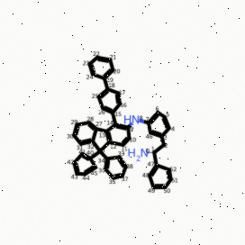 N[C@H](Cc1cccc(Nc2ccc3c(c2-c2ccc(-c4ccccc4)cc2)-c2ccccc2C3(c2ccccc2)c2ccccc2)c1)c1ccccc1